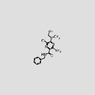 CC(C)CN(C)c1nc(N)c(C(=O)NCc2ccccc2)nc1Cl